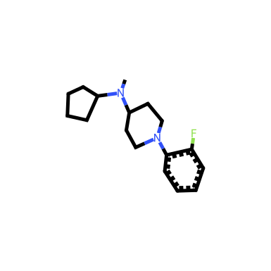 CN(C1CCCC1)C1CCN(c2ccccc2F)CC1